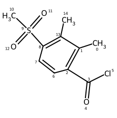 Cc1c(C(=O)Cl)ccc(S(C)(=O)=O)c1C